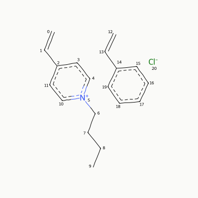 C=Cc1cc[n+](CCCC)cc1.C=Cc1ccccc1.[Cl-]